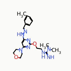 Cc1cccc(/C=N/Nc2cc(N3CCOCC3)nc(OCCNC(=N)N(C)C)n2)c1